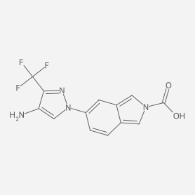 Nc1cn(-c2ccc3cn(C(=O)O)cc3c2)nc1C(F)(F)F